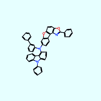 c1ccc(-c2cccc(N(c3ccc4c(c3)oc3ccc5oc(-c6ccccc6)nc5c34)c3cccc4c3c3ccccc3n4-c3ccccc3)c2)cc1